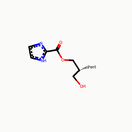 CCCCC[C@H](CO)COC(=O)c1ncc[nH]1